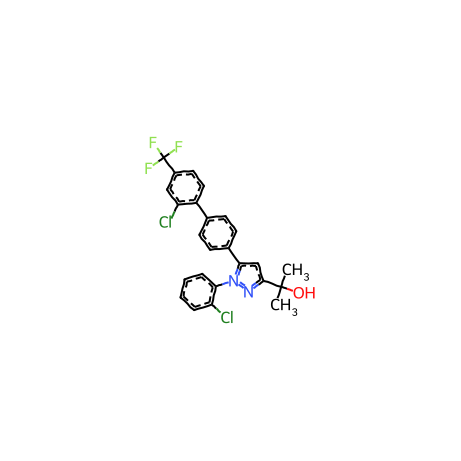 CC(C)(O)c1cc(-c2ccc(-c3ccc(C(F)(F)F)cc3Cl)cc2)n(-c2ccccc2Cl)n1